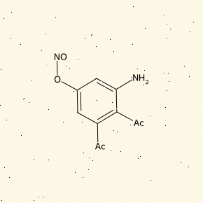 CC(=O)c1cc(ON=O)cc(N)c1C(C)=O